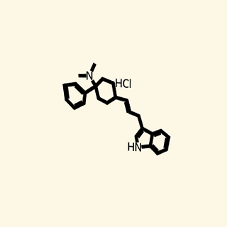 CN(C)C1(c2ccccc2)CCC(C=CCc2c[nH]c3ccccc23)CC1.Cl